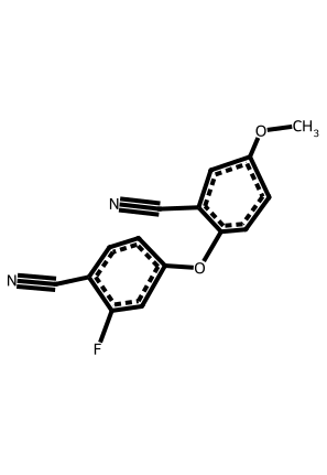 COc1ccc(Oc2ccc(C#N)c(F)c2)c(C#N)c1